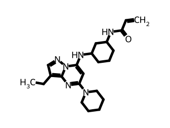 C=CC(=O)NC1CCCC(Nc2cc(N3CCCCC3)nc3c(CC)cnn23)C1